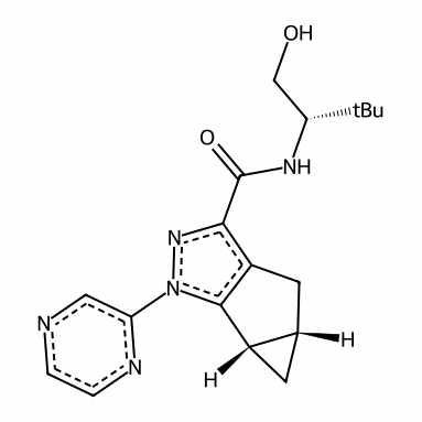 CC(C)(C)[C@@H](CO)NC(=O)c1nn(-c2cnccn2)c2c1C[C@@H]1C[C@H]21